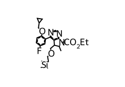 CCOC(=O)N1c2ncnc(-c3cc(F)ccc3OCC3CC3)c2C(COCC[Si](C)(C)C)C1C